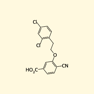 N#Cc1ccc(C(=O)O)cc1OCCc1ccc(Cl)cc1Cl